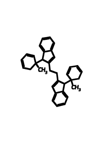 CC1(C2C(CCC3=Cc4ccccc4C3C3(C)C=CC=CC3)=Cc3ccccc32)C=CC=CC1